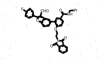 CC(C)CNC(=O)c1ccc(OCCN2C(=O)c3ccccc3C2=O)c(-c2ccc3oc(-c4ccc(F)cc4)c(C=O)c3c2)c1